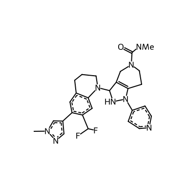 CNC(=O)N1CCC2=C(C1)C(N1CCCc3cc(-c4cnn(C)c4)c(C(F)F)cc31)NN2c1ccncc1